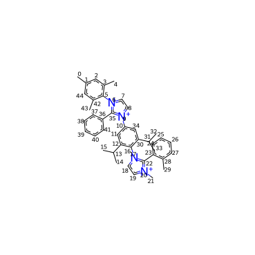 Cc1cc(C)c(-n2cc[n+](-c3cc(C(C)C)c(-n4cc[n+](C)c4-c4ccccc4C)c(C(C)C)c3)c2-c2ccccc2)c(C)c1